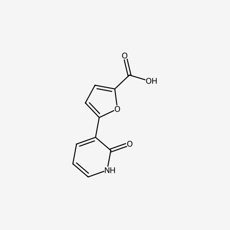 O=C(O)c1ccc(-c2ccc[nH]c2=O)o1